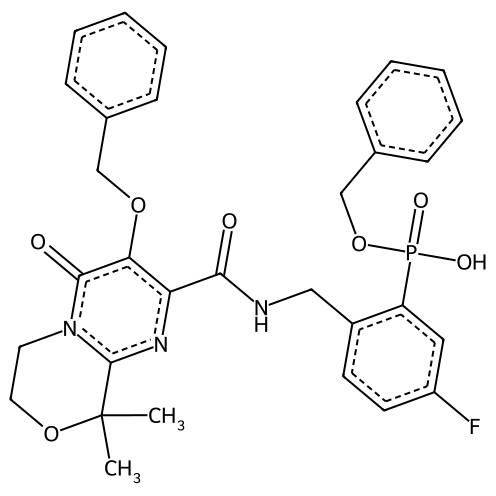 CC1(C)OCCn2c1nc(C(=O)NCc1ccc(F)cc1P(=O)(O)OCc1ccccc1)c(OCc1ccccc1)c2=O